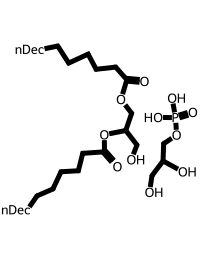 CCCCCCCCCCCCCCCC(=O)OCC(CO)OC(=O)CCCCCCCCCCCCCCC.O=P(O)(O)OCC(O)CO